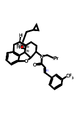 CC(C)CN(C(=O)/C=C/c1cccc(C(F)(F)F)c1)C1CC[C@@]2(O)[C@H]3Cc4cccc5c4[C@@]2(CCN3CC2CC2)C1O5